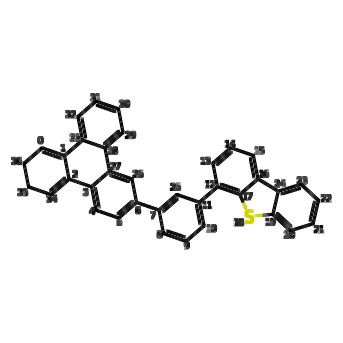 C1=c2c(c3ccc(-c4cccc(-c5cccc6c5sc5ccccc56)c4)cc3c3ccccc23)=CCC1